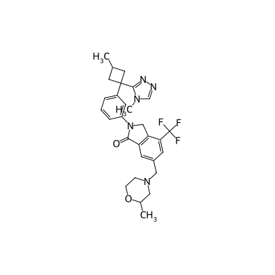 CC1CC(c2cccc(N3Cc4c(cc(CN5CCOC(C)C5)cc4C(F)(F)F)C3=O)c2)(c2nncn2C)C1